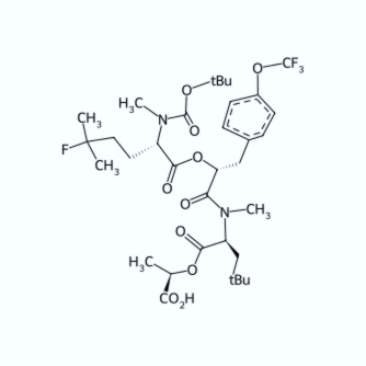 C[C@@H](OC(=O)[C@H](CC(C)(C)C)N(C)C(=O)[C@@H](Cc1ccc(OC(F)(F)F)cc1)OC(=O)[C@H](CCC(C)(C)F)N(C)C(=O)OC(C)(C)C)C(=O)O